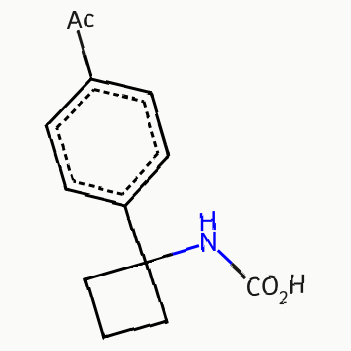 CC(=O)c1ccc(C2(NC(=O)O)CCC2)cc1